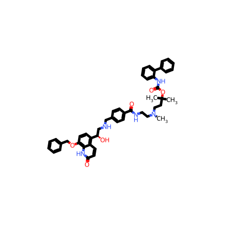 CN(CCNC(=O)c1ccc(CNC[C@@H](O)c2ccc(OCc3ccccc3)c3[nH]c(=O)ccc23)cc1)CCC(C)(C)OC(=O)Nc1ccccc1-c1ccccc1